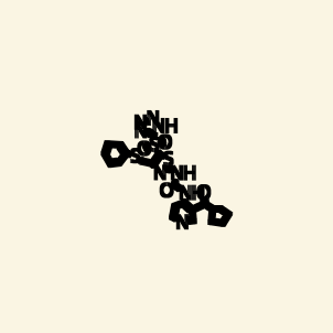 O=C(Nc1nc(CSc2ccccc2)c(S(=O)(=O)c2nnn[nH]2)s1)Nc1ccncc1C(=O)C1CCCC1